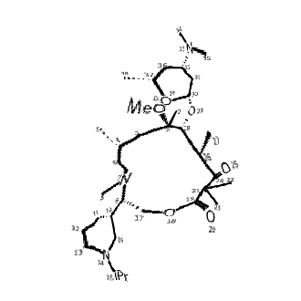 CO[C@]1(C)C[C@@H](C)CN(C)[C@@H]([C@H]2CCCN(C(C)C)C2)COC(=O)C(C)(C)C(=O)[C@H](C)[C@H]1O[C@H]1C[C@@H](N(C)C)C[C@@H](C)O1